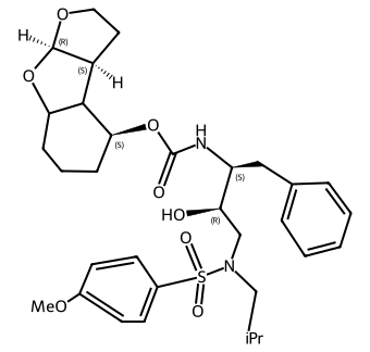 COc1ccc(S(=O)(=O)N(CC(C)C)C[C@@H](O)[C@H](Cc2ccccc2)NC(=O)O[C@H]2CCCC3O[C@H]4OCC[C@H]4C32)cc1